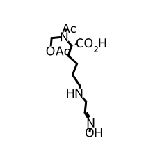 CC(=O)OCN(C(C)=O)[C@@H](CCCCNCC=NO)C(=O)O